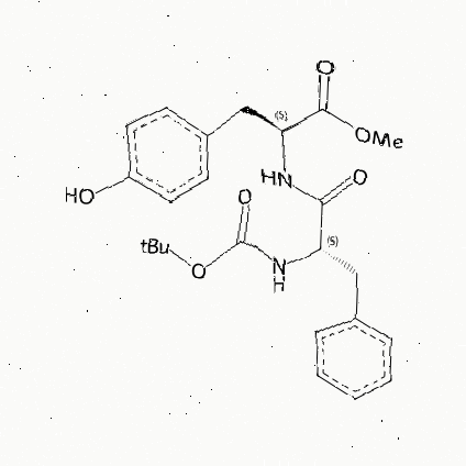 COC(=O)[C@H](Cc1ccc(O)cc1)NC(=O)[C@H](Cc1ccccc1)NC(=O)OC(C)(C)C